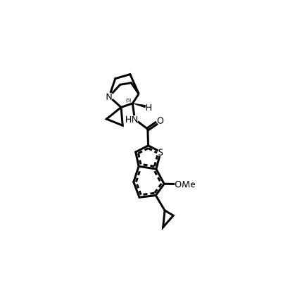 COc1c(C2CC2)ccc2cc(C(=O)N[C@H]3C4CCN(CC4)C34CC4)sc12